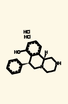 Cl.Cl.Oc1cccc2c1[C@@H](c1ccccc1)CN1CCNC[C@H]21